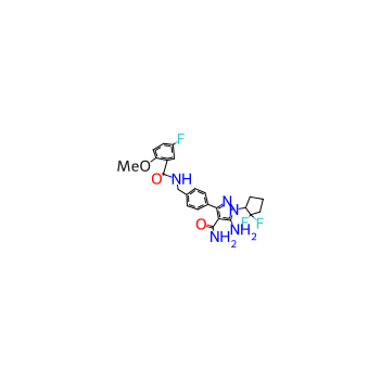 COc1ccc(F)cc1C(=O)NCc1ccc(-c2nn(C3CCCC3(F)F)c(N)c2C(N)=O)cc1